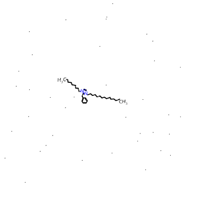 CCCCCCCCCCCCCCCn1cc[n+](CCCCCCCCC)c1Cc1ccccc1